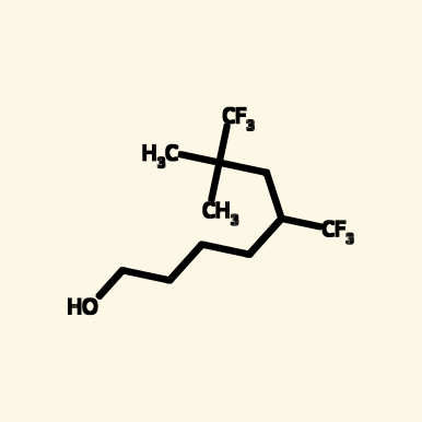 CC(C)(CC(CCCCO)C(F)(F)F)C(F)(F)F